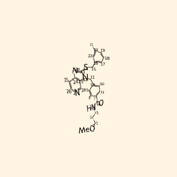 COCCCNC(=O)c1ccc(Cn2c(SCc3cccc(C)c3)nc3ccncc32)cc1